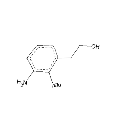 CCCCc1c(N)cccc1CCO